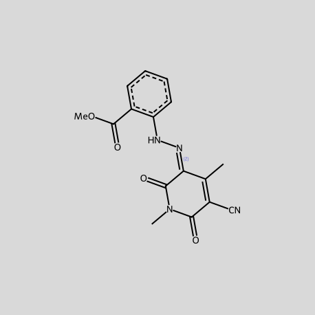 COC(=O)c1ccccc1N/N=C1\C(=O)N(C)C(=O)C(C#N)=C1C